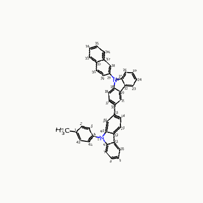 Cc1ccc(-n2c3ccccc3c3ccc(-c4ccc5c(c4)c4ccccc4n5-c4ccc5ccccc5c4)cc32)cc1